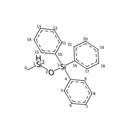 C[SiH2]O[Si](c1ccccc1)(c1ccccc1)c1ccccc1